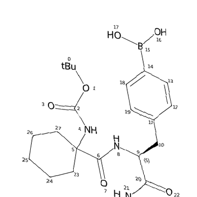 CC(C)(C)OC(=O)NC1(C(=O)N[C@@H](Cc2ccc(B(O)O)cc2)C(N)=O)CCCCC1